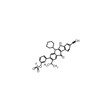 C#Cc1ccc2c(c1)[nH]c1c2c(=O)c2cc(C(C)C)c(-c3cccc(OS(=O)(=O)F)c3)cc2n1C1CCCCC1